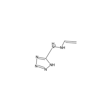 C=CN[SiH2]c1nnn[nH]1